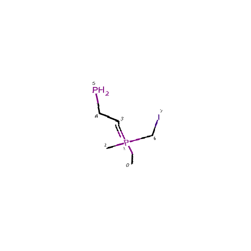 CP(C)(=CCP)CI